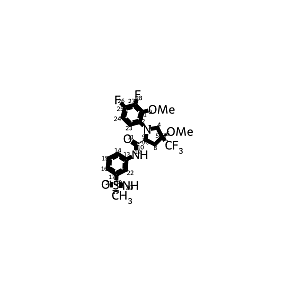 COc1c(N2C[C@](OC)(C(F)(F)F)C[C@@H]2C(=O)Nc2cccc([S@](C)(=N)=O)c2)ccc(F)c1F